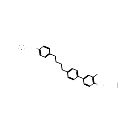 COc1ccc(CCCCc2ccc(-c3ccc(C(=O)O)c(C)c3)cc2)cc1